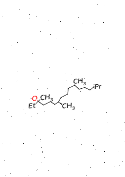 CCC(C)([O])CCC[C@H](C)CCC[C@H](C)CCCC(C)C